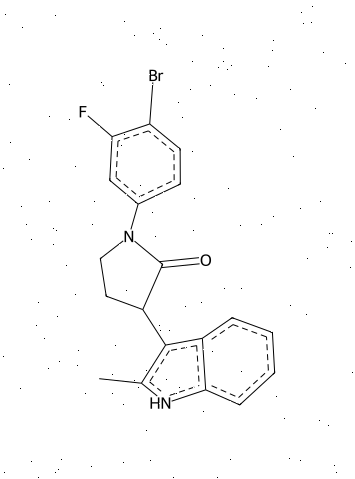 Cc1[nH]c2ccccc2c1C1CCN(c2ccc(Br)c(F)c2)C1=O